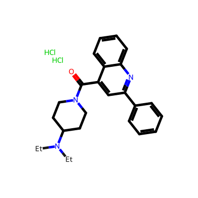 CCN(CC)C1CCN(C(=O)c2cc(-c3ccccc3)nc3ccccc23)CC1.Cl.Cl